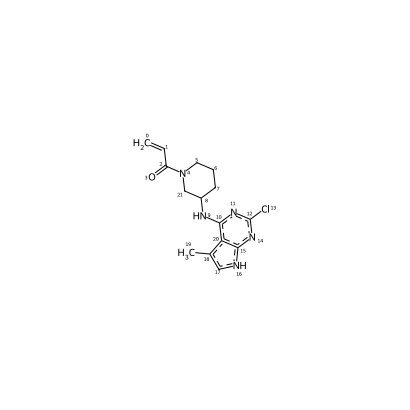 C=CC(=O)N1CCCC(Nc2nc(Cl)nc3[nH]cc(C)c23)C1